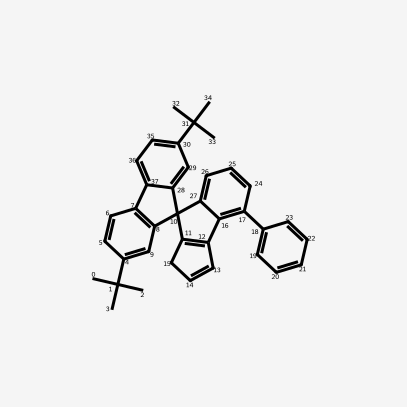 CC(C)(C)c1ccc2c(c1)C1(C3=C(C=CC3)c3c(-c4ccccc4)cccc31)c1cc(C(C)(C)C)ccc1-2